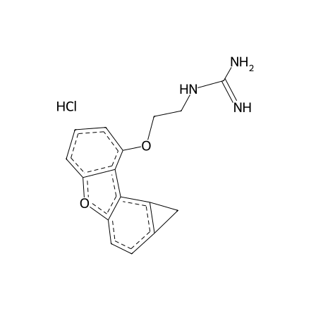 Cl.N=C(N)NCCOc1cccc2oc3ccc4c(c3c12)C4